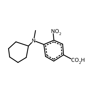 CN(c1ccc(C(=O)O)cc1[N+](=O)[O-])C1CCCCC1